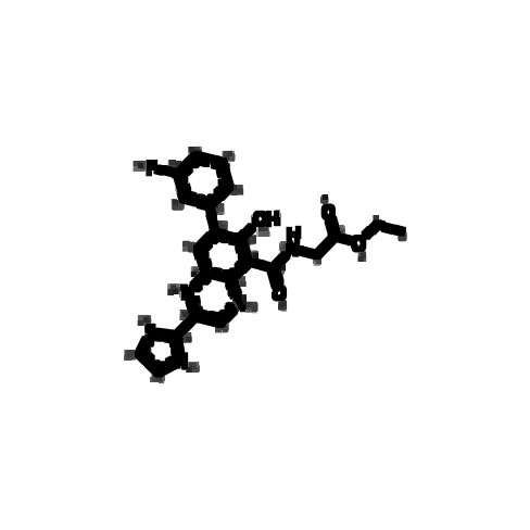 CCOC(=O)CNC(=O)c1c(O)c(-c2cccc(F)c2)cc2nc(-c3nccs3)cnc12